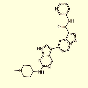 CN1CCC(Nc2ncc3c(-c4ccn5ncc(C(=O)Nc6cccnc6)c5c4)c[nH]c3n2)CC1